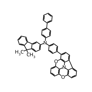 CC1(C)c2ccccc2-c2cc(N(c3ccc(-c4ccccc4)cc3)c3ccc(-c4ccc5c6cccc7c6n6c5c4Oc4cccc(c4-6)O7)cc3)ccc21